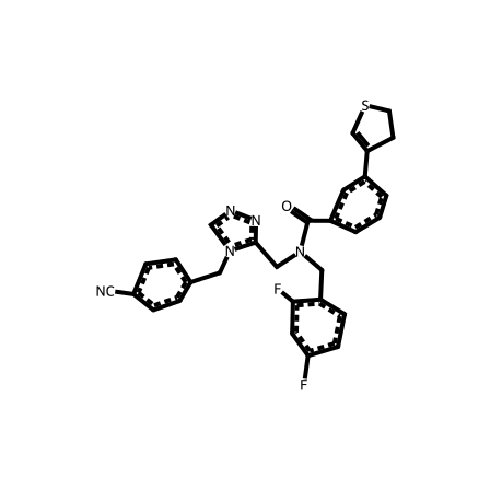 N#Cc1ccc(Cn2cnnc2CN(Cc2ccc(F)cc2F)C(=O)c2cccc(C3=CSCC3)c2)cc1